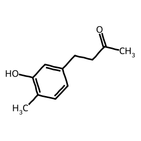 CC(=O)CCc1ccc(C)c(O)c1